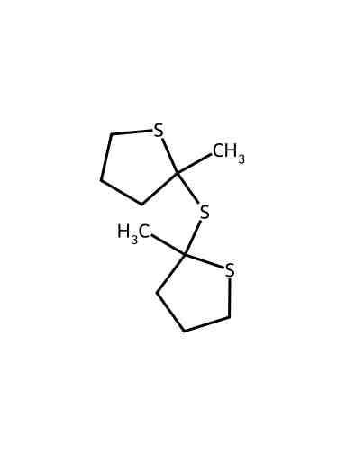 CC1(SC2(C)CCCS2)CCCS1